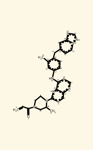 C=CC(=O)N1CCN(c2ncc3ncnc(Nc4ccc(Cc5ccn6ncnc6c5)c(C)c4)c3n2)C(C)C1